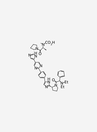 CCN(CC)[C@@H](C(=O)N1CCC[C@H]1c1ncc(-c2ccc(-c3ncc(-c4cnc([C@@H]5CCCN5C(=O)[C@H](C)N(C)C(=O)O)[nH]4)cn3)cc2)[nH]1)c1ccccc1